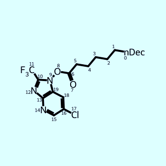 CCCCCCCCCCCCCCCC(=O)On1c(C(F)(F)F)nc2ncc(Cl)cc21